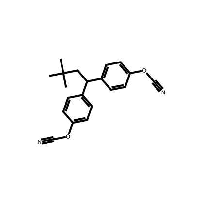 CC(C)(C)CC(c1ccc(OC#N)cc1)c1ccc(OC#N)cc1